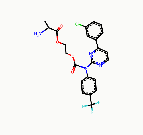 CC(N)C(=O)OCCOC(=O)N(c1ccc(C(F)(F)F)cc1)c1nccc(-c2cccc(Cl)c2)n1